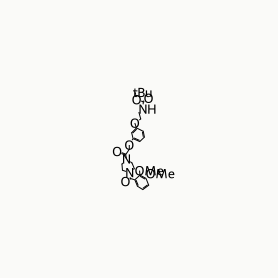 COc1cccc(C(=O)N2CCN(C(=O)COc3cccc(OCCNC(=O)OC(C)(C)C)c3)CC2)c1OC